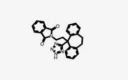 O=C1c2ccccc2C(=O)N1CCC1(c2nn[nH]n2)c2ccccc2CCc2ccccc21